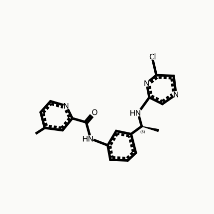 Cc1ccnc(C(=O)Nc2cccc([C@H](C)Nc3cncc(Cl)n3)c2)c1